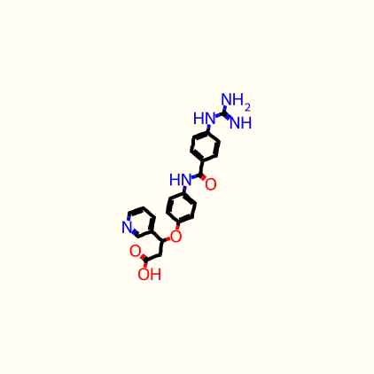 N=C(N)Nc1ccc(C(=O)Nc2ccc(OC(CC(=O)O)c3cccnc3)cc2)cc1